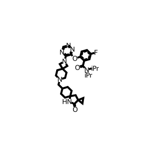 CC(C)N(C(=O)c1cc(F)ccc1Oc1nncnc1N1CC2(CCN(CC3CCC4(CC3)CC3(CC3)C(=O)N4)CC2)C1)C(C)C